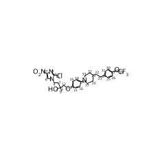 CC(O)(CCn1cc([N+](=O)[O-])nc1Cl)COc1ccc(N2CCC(CCc3ccc(OC(F)(F)F)cc3)CC2)cc1